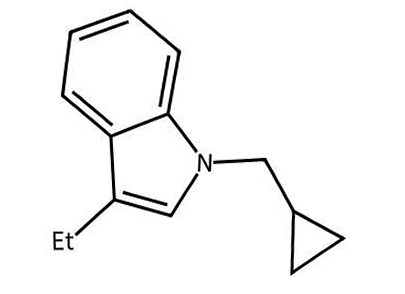 CCc1cn(CC2CC2)c2ccccc12